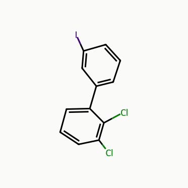 Clc1cccc(-c2cccc(I)c2)c1Cl